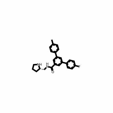 Cc1ccc(-c2cc(C(=O)NC[C@@H]3CCCN3)cc(-c3ccc(F)cc3)c2)cc1